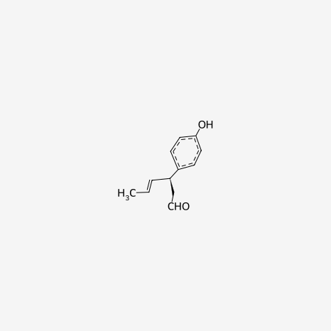 C/C=C/[C@H](CC=O)c1ccc(O)cc1